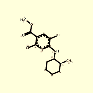 COC(=O)c1cc(F)c(N[C@@H]2CCCC[C@@H]2C)nc1Cl